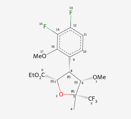 CCOC(=O)[C@H]1O[C@@](C)(C(F)(F)F)[C@@H](OC)[C@H]1c1ccc(F)c(F)c1OC